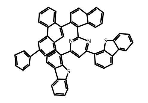 c1ccc(-c2ccc3cc(-c4ccc5ccccc5c4-c4nc(-c5cccc6c5sc5ccccc56)cc(-c5cccc6c5sc5ccccc56)n4)c4ccccc4c3c2)cc1